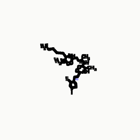 CC(NC(=O)/C=C/c1ccc(I)cc1F)C(=O)N[C@H](C)CCC(=O)NC(CCCCN)C(N)=O